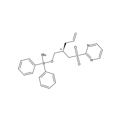 C=CC[C@H](CO[Si](c1ccccc1)(c1ccccc1)C(C)(C)C)CS(=O)(=O)c1ncccn1